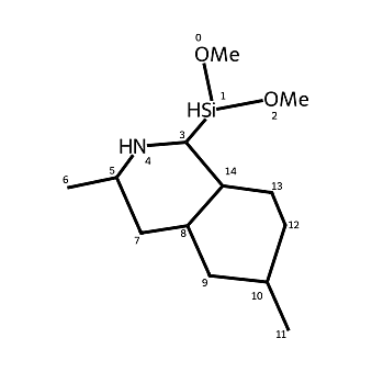 CO[SiH](OC)C1NC(C)CC2CC(C)CCC21